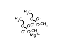 CCOP(=O)([O-])OC.CCOP(=O)([O-])OC.[Mg+2]